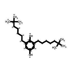 CC(C)(C)CCCCCc1cc(O)cc(CCCCCC(C)(C)C)c1O